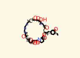 CC[C@@H]1CC[C@@H](C[C@@H](C)[C@@H]2CC(=O)[C@H](C)/C=C(\C)[C@@H](O)[C@@H](OC)C(=O)[C@H](C)C[C@H](C)/C=C/C=C/C=C(\C)[C@@H](OC)C[C@@H]3CC[C@@H](C)[C@@](O)(O3)C(=O)C(=O)N3CCCC[C@H]3C(=O)O2)C[C@H]1OC